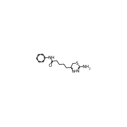 NC1=NN=C(CCCCC(=O)Nc2ccccc2)CS1